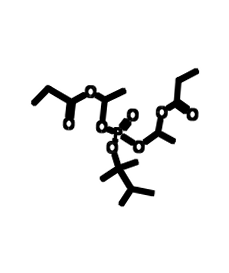 CCC(=O)OC(C)OP(=O)(OC(C)OC(=O)CC)OC(C)(C)C(C)C